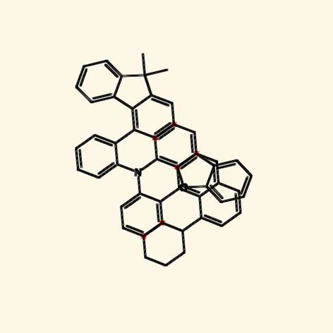 CC1(C)c2ccccc2-c2c(-c3ccccc3N(c3ccccc3-c3cccc4cccc(C5CCCCC5)c34)c3cccc4c3oc3ccccc34)cccc21